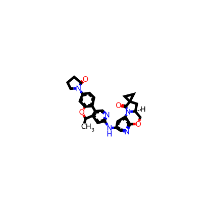 CC1Oc2cc(N3CCCC3=O)ccc2-c2cnc(Nc3cnc4c(c3)N3C(=O)C5(CC5)C[C@H]3CO4)cc21